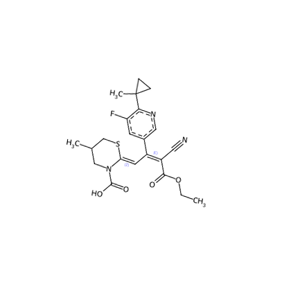 CCOC(=O)/C(C#N)=C(\C=C1/SCC(C)CN1C(=O)O)c1cnc(C2(C)CC2)c(F)c1